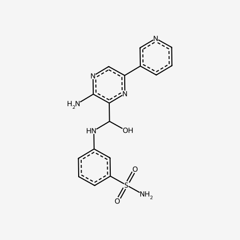 Nc1ncc(-c2cccnc2)nc1C(O)Nc1cccc(S(N)(=O)=O)c1